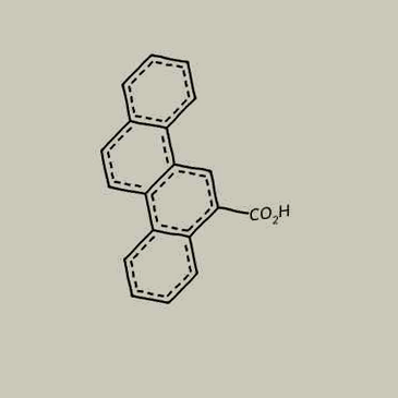 O=C(O)c1cc2c3ccccc3ccc2c2ccccc12